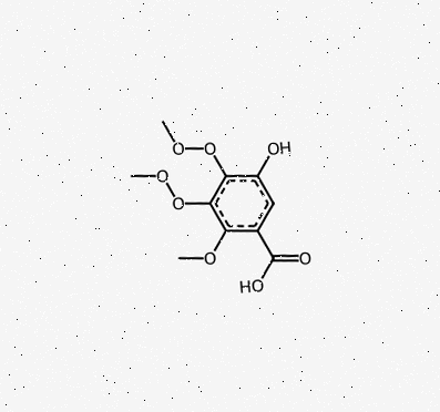 COOc1c(O)cc(C(=O)O)c(OC)c1OOC